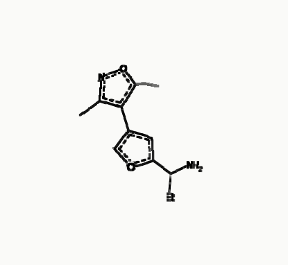 CCC(N)c1cc(-c2c(C)noc2C)co1